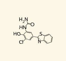 NC(=O)Nc1cc(-c2nc3ccccc3s2)cc(Cl)c1O